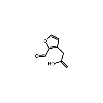 C=C(O)Cc1ccoc1C=O